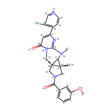 COc1cccc(C(=O)N2C[C@@H]3C(N(C)c4nc(-c5ccncc5F)cc(=O)n4C)[C@@H]3C2)c1